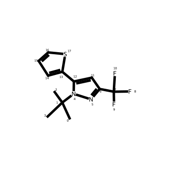 CC(C)(C)n1nc(C(F)(F)F)cc1-c1cccs1